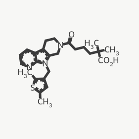 Cc1cc(Cn2c3c(c4cccnc42)CCN(C(=O)CCCC(C)(C)C(=O)O)C3)c(C)s1